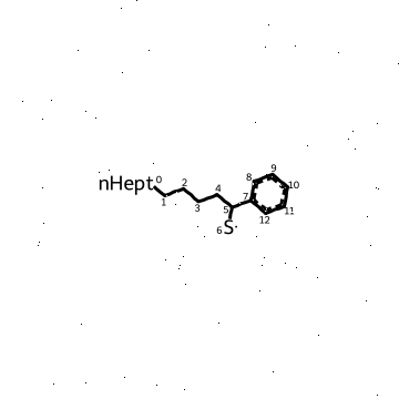 CCCCCCCCCCCC([S])c1ccccc1